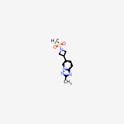 Cc1nc2ccc(C3CN(S(C)(=O)=O)C3)cn2n1